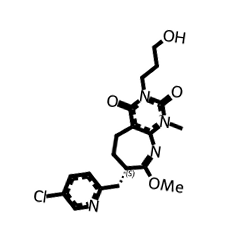 COC1=Nc2c(c(=O)n(CCCO)c(=O)n2C)CC[C@H]1Cc1ccc(Cl)cn1